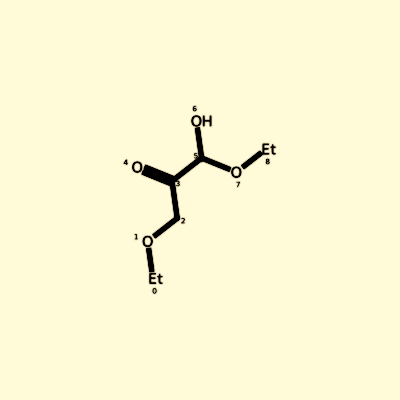 CCOCC(=O)[C](O)OCC